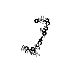 COc1c(NC(=O)CN2CCC3(CC2)CC(COc2ccc(-c4ccc(N5CCc6ccnc(C(=O)Nc7nc8ccccc8s7)c6C5)nc4)c(C(F)(F)F)c2)C3)ccc2c(C3CCC(=O)NC3=O)nn(C)c12